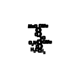 COc1cc2c(cc1OC)OCC(C(=O)c1cc([N+](=O)[O-])c3c(c1OC)C=CC(C)(C)O3)=C2